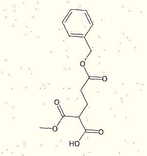 COC(=O)C(CCC(=O)OCc1ccccc1)C(=O)O